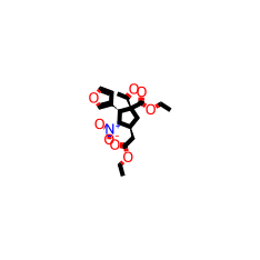 CCOC(=O)C[C@@H]1C[C@@](C(C)=O)(C(=O)OCC)[C@@H](c2ccoc2)[C@@H]1[N+](=O)[O-]